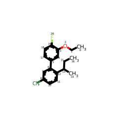 CCOc1cc(-c2cc(Cl)ccc2C(C)CC)ccc1F